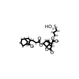 O=C(CCC1CC2CCCC(C2)C1=O)OC1C2CC3C1OC(=O)C3C2C(=O)OCCCS(=O)(=O)O